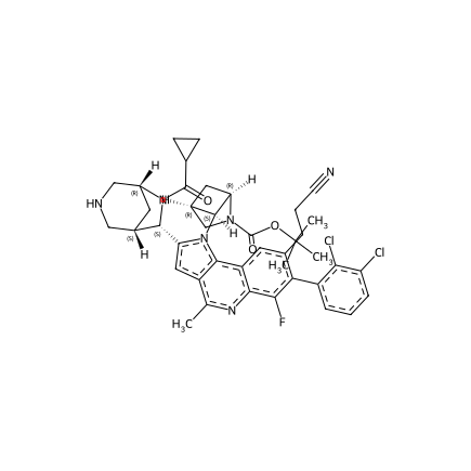 Cc1nc2c(F)c(-c3cccc(Cl)c3Cl)c(CCC#N)cc2c2c1cc([C@@H]1[C@@H]3CNC[C@@H](C3)N1C(=O)C1CC1)n2[C@H]1[C@@H]2C[C@H]1N(C(=O)OC(C)(C)C)C2